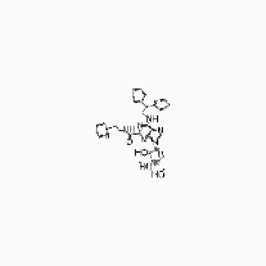 O=C(NCCc1ccccn1)c1nc(NCC(c2ccccc2)c2ccccc2)c2ncn([C@@H]3O[C@H](CO)[C@@H](O)[C@@H]3O)c2n1